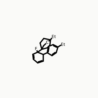 CCc1ccc(C2C=CC=CC2(F)C23CCC(CC)(CC2)CC3)cc1